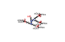 CCCCCCCCC(CCCCCC)C(=O)OCCCCCCN(CCCCCCOC(=O)C(CCCCCC)CCCCCCCC)CCN(CCCCO)CCN(CCCCCCOC(=O)C(CCCCCC)CCCCCCCC)CCCCCCOC(=O)C(CCCCCC)CCCCCCCC